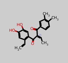 C=Cc1cc(O)c(O)cc1C(=O)/C(=C\C)C(=O)c1ccc(C)c(C)c1